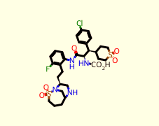 O=C(O)N[C@H](C(=O)Nc1cccc(F)c1CC[C@H]1CNC2CCCS(=O)(=O)N1C2)[C@@H](c1ccc(Cl)cc1)C1CCS(=O)(=O)CC1